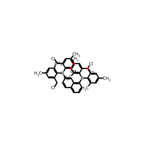 Cc1cc(C)c(B(c2ccc3cc[c]c(B(c4c(C)cc(C)cc4CCl)c4c(C)cc(C)cc4CCl)c3c2)c2c(C)cc(C)cc2CCl)c(CCl)c1